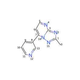 Cc1nc2nccc(-c3cccnc3)n2n1